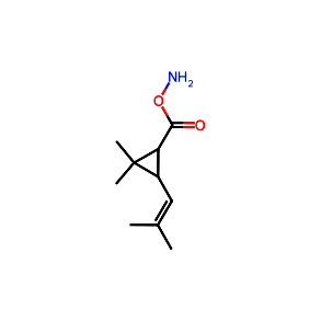 CC(C)=CC1C(C(=O)ON)C1(C)C